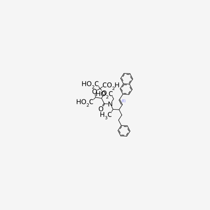 CC(C(/C=C/c1ccc2ccccc2c1)CCc1ccccc1)N(CC(=O)O)C(=O)C1OC(C(=O)O)(C(=O)O)OC1C(=O)O